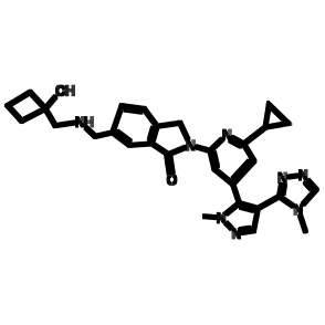 Cn1cnnc1-c1cnn(C)c1-c1cc(C2CC2)nc(N2Cc3ccc(CNCC4(O)CCC4)cc3C2=O)c1